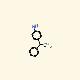 [CH2]C(c1ccccc1)c1ccc(N)cc1